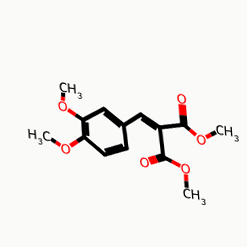 COC(=O)C(=Cc1ccc(OC)c(OC)c1)C(=O)OC